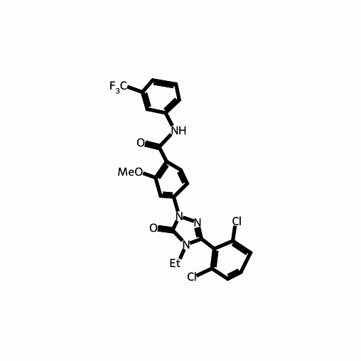 CCn1c(-c2c(Cl)cccc2Cl)nn(-c2ccc(C(=O)Nc3cccc(C(F)(F)F)c3)c(OC)c2)c1=O